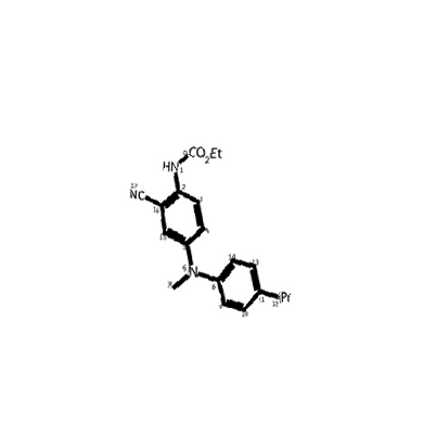 CCOC(=O)Nc1ccc(N(C)c2ccc(C(C)C)cc2)cc1C#N